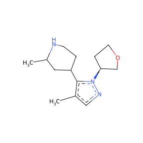 Cc1cnn([C@H]2CCOC2)c1C1CCNC(C)C1